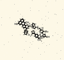 Cc1ncsc1-c1ccc([C@H](C)NC(=O)[C@@H]2C[C@@H](O)CN2C(=O)[C@@H](NC(=O)COC[C@H]2CC[C@@]3(COc4nc(N5CC6CCC(C5)N6)c5cnc6c(c5n4)C(C)c4cccc5cc(O)cc-6c45)CCCN23)C(C)(C)C)cc1